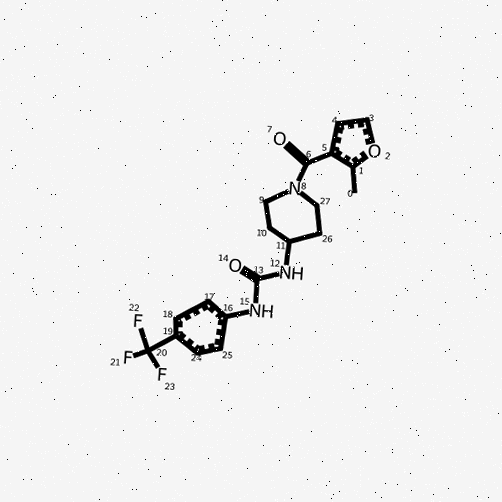 Cc1occc1C(=O)N1CCC(NC(=O)Nc2ccc(C(F)(F)F)cc2)CC1